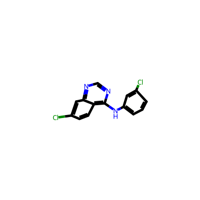 Clc1cccc(Nc2ncnc3cc(Cl)ccc23)c1